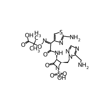 CC(C)(O/N=C(\C(=O)N[C@@H]1C(=O)N(S(=O)(=O)O)[C@@H]1Cn1ncnc1CN)c1csc(N)n1)C(=O)O